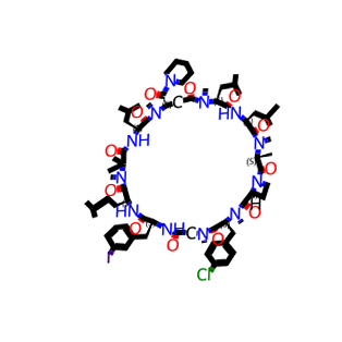 CC(C)=CC[C@@H]1NC(=O)[C@H](Cc2cccc(I)c2)NC(=O)CN(C)C(=O)[C@H](Cc2ccc(Cl)cc2)N(C)C(=O)[C@@H]2CCN2C(=O)[C@H](C)N(C)C(=O)[C@H](CC(C)C)NC(=O)[C@H](CC(C)C)N(C)C(=O)C[C@@H](C(=O)N2CCCCC2)N(C)C(=O)[C@H](CC(C)C)NC(=O)C(C)(C)N(C)C1=O